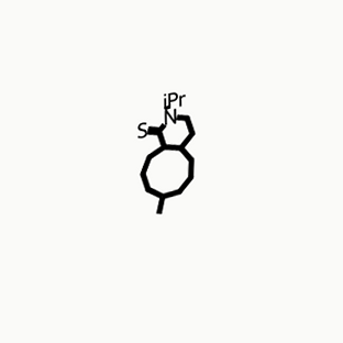 CC1CCCC2CCN(C(C)C)C(=S)C2CCC1